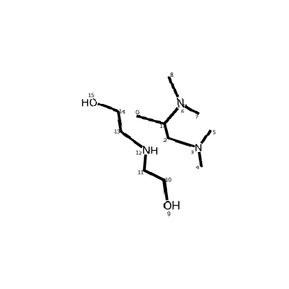 CC(CN(C)C)N(C)C.OCCNCCO